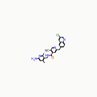 Cc1cc(N)nc(C)c1CNC(=O)c1cc(Cc2ccc3ncc(Cl)cc3c2)ncc1C#N